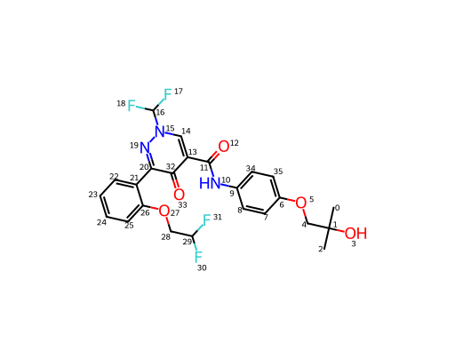 CC(C)(O)COc1ccc(NC(=O)c2cn(C(F)F)nc(-c3ccccc3OCC(F)F)c2=O)cc1